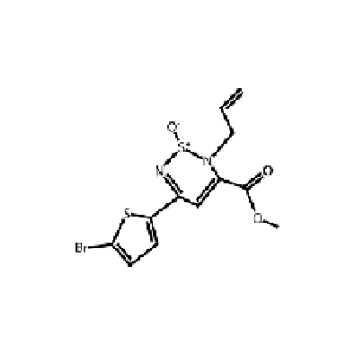 C=CCN1C(C(=O)OC)=CC(c2ccc(Br)s2)=N[S+]1[O-]